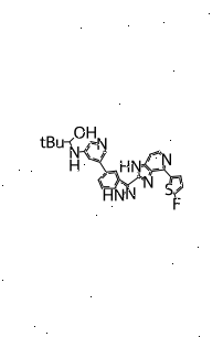 CC(C)(C)C(O)Nc1cncc(-c2ccc3[nH]nc(-c4nc5c(-c6ccc(F)s6)nccc5[nH]4)c3c2)c1